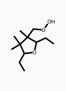 CCC1OC(CC)C(C)(COO)C1(C)C